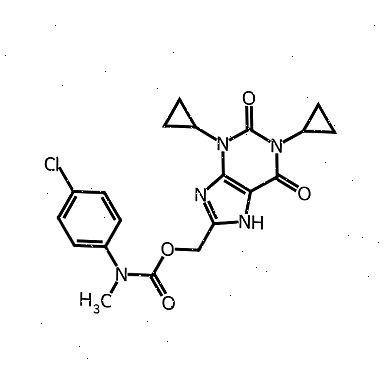 CN(C(=O)OCc1nc2c([nH]1)c(=O)n(C1CC1)c(=O)n2C1CC1)c1ccc(Cl)cc1